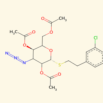 CC(=O)OCC1O[C@H](SCCc2cccc(Cl)c2)C(OC(C)=O)C(N=[N+]=[N-])[C@H]1OC(C)=O